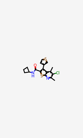 Cc1nc2sc(C(=O)NC3CCC3)c(-c3ccsc3)c2c(C)c1Cl